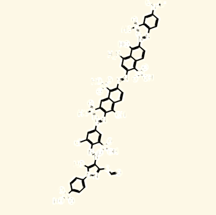 Nc1cc(N=Nc2ccc3c(O)c(N=Nc4cc(Cl)c(N=Nc5c(OC=O)nn(-c6ccc(S(=O)(=O)O)cc6)c5O)c(S(=O)(=O)O)c4)c(S(=O)(=O)O)cc3c2S(=O)(=O)O)c(S(=O)(=O)O)c2ccc(N=Nc3ccc([N+](=O)[O-])cc3S(=O)(=O)O)c(O)c12